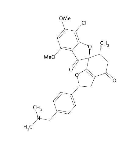 COc1cc(OC)c2c(c1Cl)O[C@]1(C2=O)C2=C(CC(c3ccc(CN(C)C)cc3)O2)C(=O)C[C@H]1C